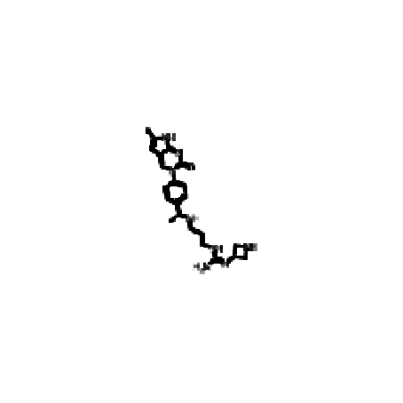 Cc1cc2cn(-c3ccc([C@H](C)NCCCN/C(N)=N\C4CNC4)cc3)c(=O)nc2[nH]1